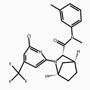 Cc1cccc(N(C)C(=O)[C@@H]2[C@H]3CC[C@H](C3)N2c2cc(C(F)(F)F)cc(Cl)n2)c1